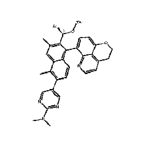 CC(=O)[C@@H](OC(C)(C)C)c1c(C)cc2c(C)c(-c3cnc(N(C)C)nc3)ccc2c1-c1ccc2c3c(ccnc13)CCO2